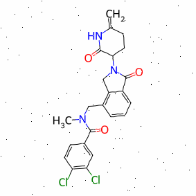 C=C1CCC(N2Cc3c(CN(C)C(=O)c4ccc(Cl)c(Cl)c4)cccc3C2=O)C(=O)N1